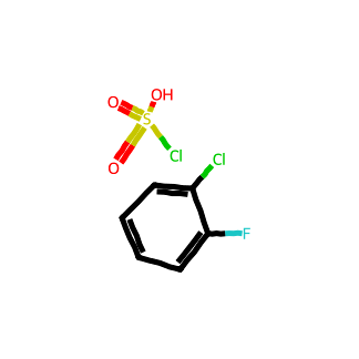 Fc1ccccc1Cl.O=S(=O)(O)Cl